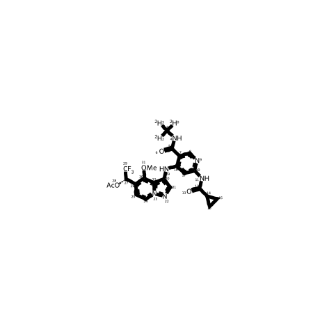 [2H]C([2H])([2H])NC(=O)c1cnc(NC(=O)C2CC2)cc1Nc1cnn2ccc([C@H](OC(C)=O)C(F)(F)F)c(OC)c12